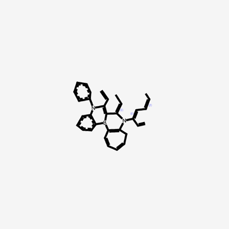 C=CC1=C2B(C3=C(CC=CC=C3)N(/C(C=C)=C/C=C\C)/C2=C/C)c2ccccc2N1c1ccccc1